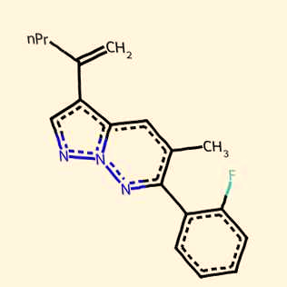 C=C(CCC)c1cnn2nc(-c3ccccc3F)c(C)cc12